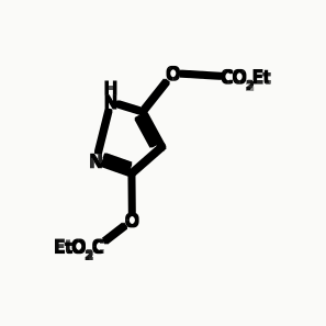 CCOC(=O)Oc1cc(OC(=O)OCC)[nH]n1